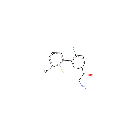 Cc1cccc(-c2cc(C(=O)CN)ccc2Cl)c1F